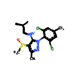 C=C(C)CNc1c([S+]([O-])C(F)(F)F)c(C#N)nn1-c1c(Cl)cc(C(F)(F)F)cc1Cl